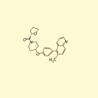 Cc1ccc2ncccc2c1-c1ccc(OC2CCN(C(=O)[C@H]3CCCO3)CC2)cc1